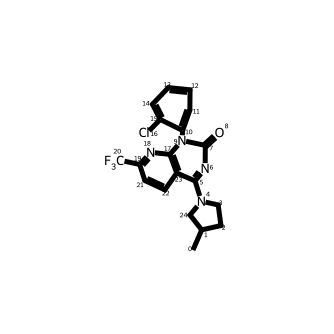 CC1CCN(c2nc(=O)n(-c3ccccc3Cl)c3nc(C(F)(F)F)ccc23)C1